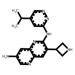 CC(C)c1cnnc(Nc2nc3cc(N)cnc3cc2C2CNC2)c1